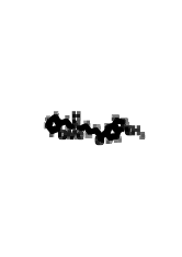 COc1ccccc1CCNCCCCC(=O)c1ccc2c(c1)CCN2C